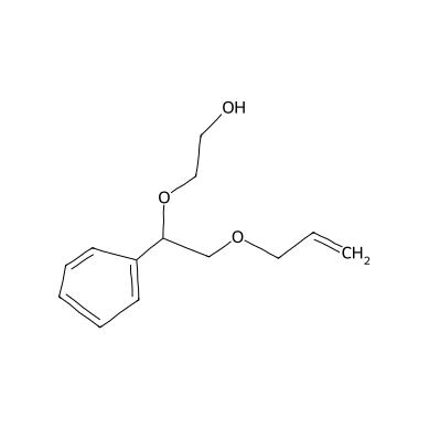 C=CCOCC(OCCO)c1ccccc1